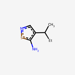 CCC(C)c1cnsc1N